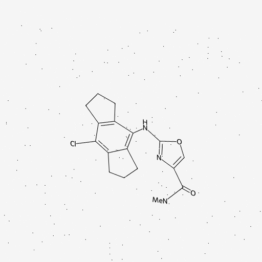 CNC(=O)c1coc(Nc2c3c(c(Cl)c4c2CCC4)CCC3)n1